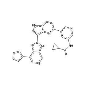 C=C(Nc1cncc(-c2ccc3[nH]nc(-c4nc5c(-c6cccs6)cncc5[nH]4)c3n2)c1)C1CC1